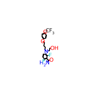 NC(=O)c1c(F)ccc(N(CCO)CCCCOc2ccc(OC(F)(F)F)cc2)c1F